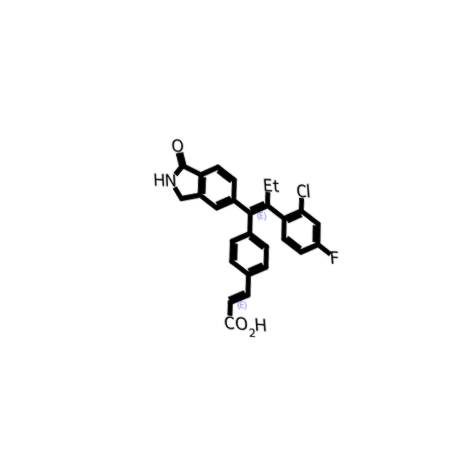 CC/C(=C(/c1ccc(/C=C/C(=O)O)cc1)c1ccc2c(c1)CNC2=O)c1ccc(F)cc1Cl